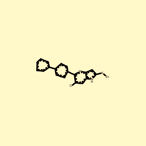 CCSc1cc2nc(-c3ccc(-c4ccccc4)cc3)c(Cl)cc2[nH]1